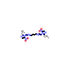 Cc1ncc([N+](=O)[O-])n1CCNCCCCNCCn1c([N+](=O)[O-])cnc1C